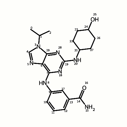 CC(C)n1cnc2c(Nc3cccc(C(N)=O)c3)nc(NC3CCC(O)CC3)nc21